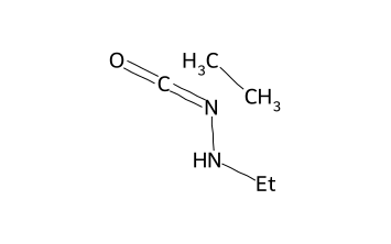 CC.CCNN=C=O